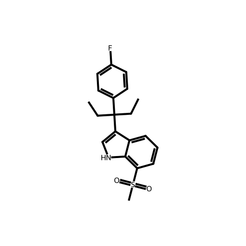 CCC(CC)(c1ccc(F)cc1)c1c[nH]c2c(S(C)(=O)=O)cccc12